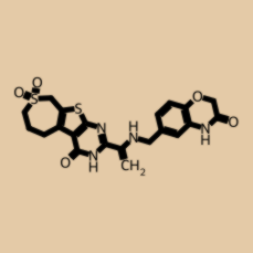 C=C(NCc1ccc2c(c1)NC(=O)CO2)c1nc2sc3c(c2c(=O)[nH]1)CCCS(=O)(=O)C3